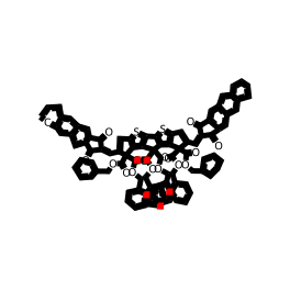 O=C1C(=CC2=Cc3sc4c(c3C2(C(=O)OCc2ccccc2)C(=O)OCc2ccccc2)C(C(=O)OCc2ccccc2)(C(=O)OCc2ccccc2)c2c-4sc3c2C(C(=O)OCc2ccccc2)(C(=O)OCc2ccccc2)C(C=C2C(=O)c4cc5cc6ccccc6cc5cc4C2=O)=C3)C(=O)c2cc3cc4ccccc4cc3cc21